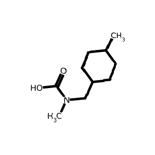 CC1CCC(CN(C)C(=O)O)CC1